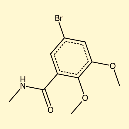 CNC(=O)c1cc(Br)cc(OC)c1OC